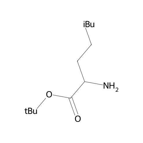 CCC(C)CCC(N)C(=O)OC(C)(C)C